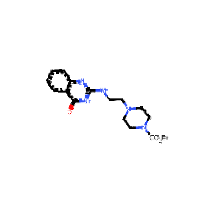 CCOC(=O)N1CCN(CCNc2nc3ccccc3c(=O)[nH]2)CC1